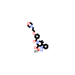 CC(C)OC(=O)C1=CN(C(=O)c2cccc(OCCCN3CCOCC3)c2)CC(C)(C)c2c1[nH]c1ccccc21